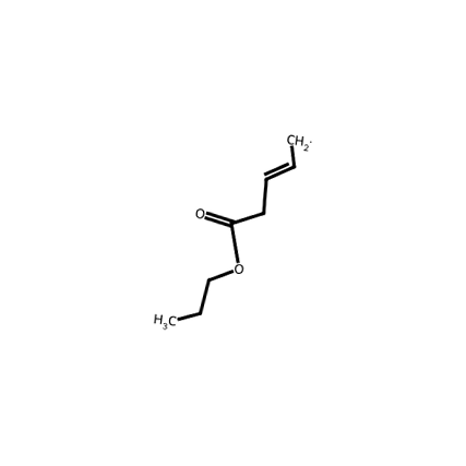 [CH2]C=CCC(=O)OCCC